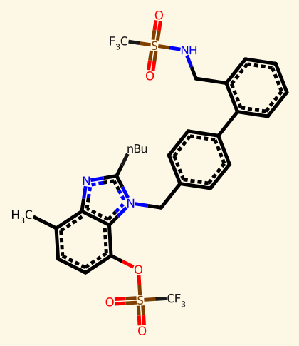 CCCCc1nc2c(C)ccc(OS(=O)(=O)C(F)(F)F)c2n1Cc1ccc(-c2ccccc2CNS(=O)(=O)C(F)(F)F)cc1